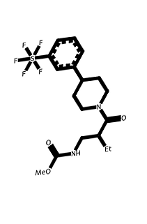 CCC(CNC(=O)OC)C(=O)N1CCC(c2cccc(S(F)(F)(F)(F)F)c2)CC1